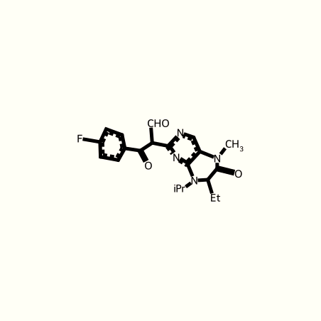 CCC1C(=O)N(C)c2cnc(C(C=O)C(=O)c3ccc(F)cc3)nc2N1C(C)C